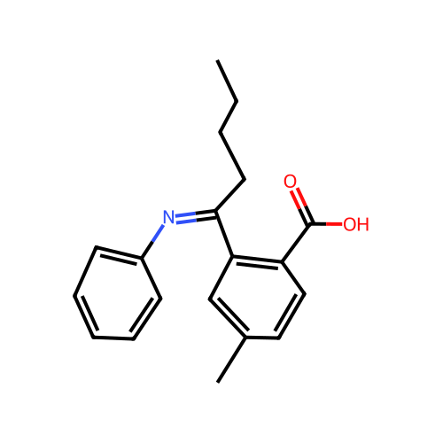 CCCCC(=Nc1ccccc1)c1cc(C)ccc1C(=O)O